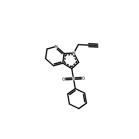 C#CCn1cc(S(=O)(=O)C2=CCCC=C2)c2c1=NCCC=2